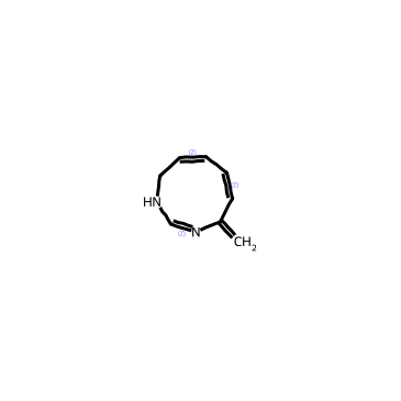 C=C1/C=C\C=C/CN/C=N\1